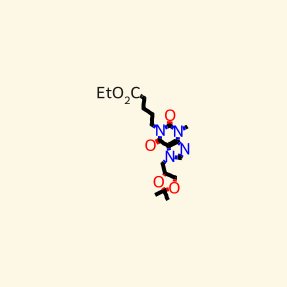 CCOC(=O)CCCCn1c(=O)c2c(ncn2CC2COC(C)(C)O2)n(C)c1=O